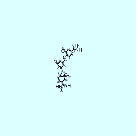 CNC(=N)c1ccc(OCc2cc(C)cc(COc3ccc(C(=N)NC)cc3OC)c2)c(OC)c1